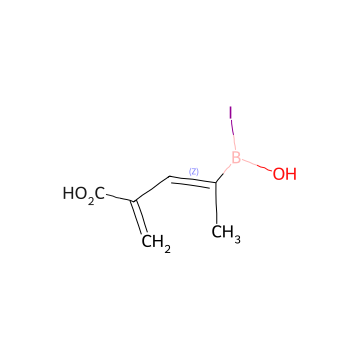 C=C(/C=C(\C)B(O)I)C(=O)O